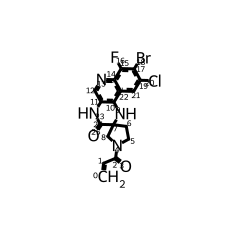 C=CC(=O)N1CCC2(C1)Nc1c(cnc3c(F)c(Br)c(Cl)cc13)NC2=O